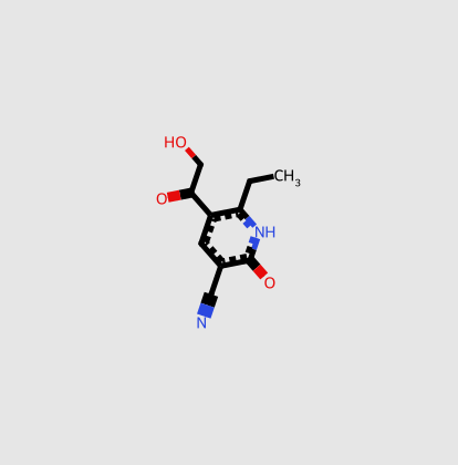 CCc1[nH]c(=O)c(C#N)cc1C(=O)CO